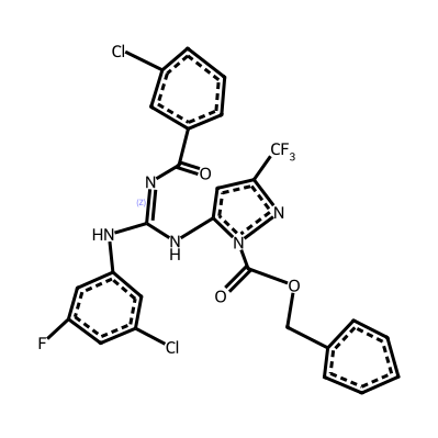 O=C(/N=C(/Nc1cc(F)cc(Cl)c1)Nc1cc(C(F)(F)F)nn1C(=O)OCc1ccccc1)c1cccc(Cl)c1